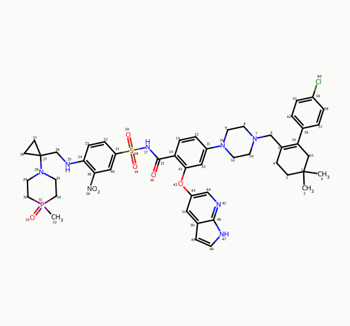 CC1(C)CCC(CN2CCN(c3ccc(C(=O)NS(=O)(=O)c4ccc(NCC5(N6CCP(C)(=O)CC6)CC5)c([N+](=O)[O-])c4)c(Oc4cnc5[nH]ccc5c4)c3)CC2)=C(c2ccc(Cl)cc2)C1